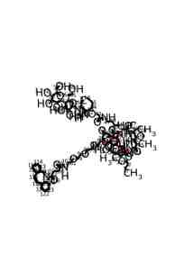 CCCC1O[C@@H]2C[C@H]3[C@@H]4C[C@H](F)C5=CC(=O)C=C[C@]5(C)[C@@]4(F)[C@@H](O)C[C@]3(C)[C@]2(C(=O)CNC(=O)[C@H](C)NC(=O)[C@@H](NC(=O)[C@@H](CCCCNC(=O)COC2CCCCC/C(N[C@H]3O[C@H](CCO)[C@@H](C4O[C@H](CO)[C@@H](O)[C@H](O)[C@H]4O)[C@H](O)[C@H]3O)=C\2N=N)NC(=O)CCOCCOCCOCCOCCNC(=O)CCC(=O)N2Cc3ccccc3C#Cc3ccccc32)C(C)C)O1